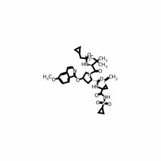 C=C[C@@H]1CC1(NC(=O)[C@@H]1CC(Oc2nccc3cc(OC)ccc23)CN1C(=O)[C@@H](NC(=O)CC1CC1)C(C)(C)C)C(=O)NS(=O)(=O)C1CC1